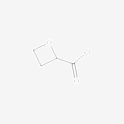 O=C(Cl)C1CCO1